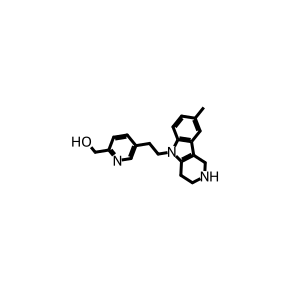 Cc1ccc2c(c1)c1c(n2CCc2ccc(CO)nc2)CCNC1